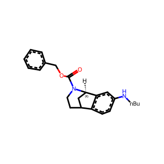 CCCCNc1ccc2c(c1)[C@H]1CC2CCN1C(=O)OCc1ccccc1